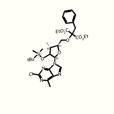 CCOC(=O)C(Cc1ccccc1)(OC[C@H]1O[C@@H](n2cnc3c(C)nc(Cl)nc32)C(O[Si](C)(C)C(C)(C)C)[C@@H]1C)C(=O)OCC